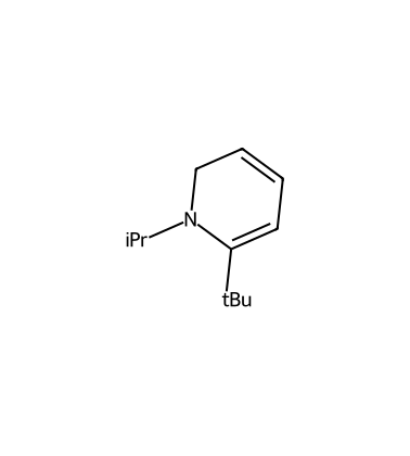 CC(C)N1CC=CC=C1C(C)(C)C